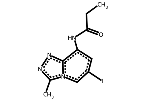 CCC(=O)Nc1cc(I)cn2c(C)nnc12